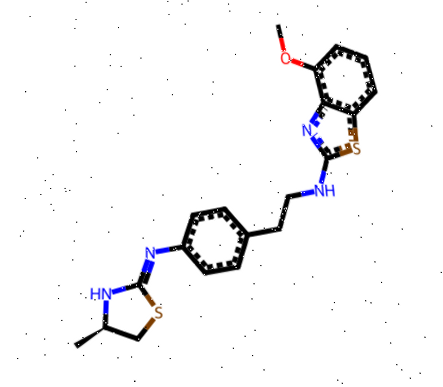 COc1cccc2sc(NCCc3ccc(/N=C4/N[C@H](C)CS4)cc3)nc12